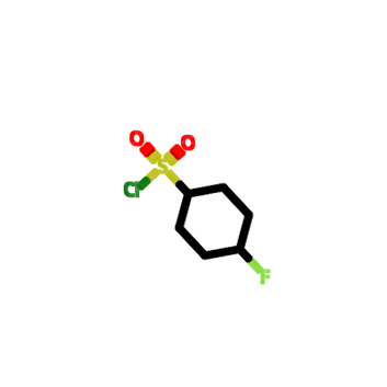 O=S(=O)(Cl)C1CCC(F)CC1